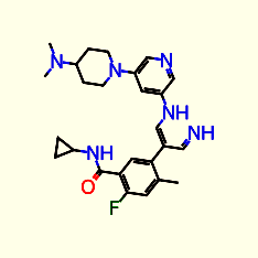 Cc1cc(F)c(C(=O)NC2CC2)cc1/C(C=N)=C/Nc1cncc(N2CCC(N(C)C)CC2)c1